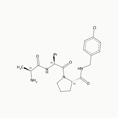 CC(C)[C@H](NC(=O)[C@H](C)N)C(=O)N1CCC[C@H]1C(=O)NCc1ccc(Cl)cc1